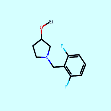 CCOC1CCN(Cc2c(F)cccc2F)C1